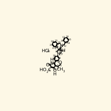 CC1COc2cc(N3C[C@@H]4C(N(Cc5ccccc5)Cc5ccccc5)[C@@H]4C3)ccc2-c2[nH]c(=O)c(C(=O)O)c(O)c21.Cl